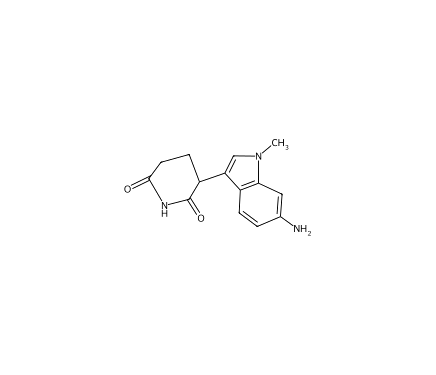 Cn1cc(C2CCC(=O)NC2=O)c2ccc(N)cc21